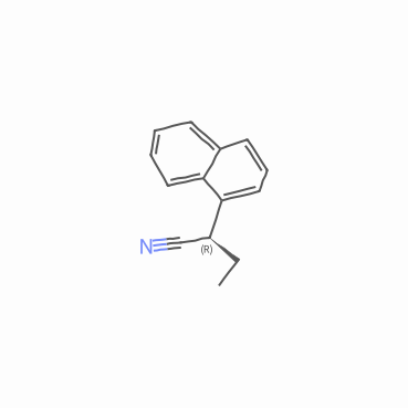 CC[C@@H](C#N)c1cccc2ccccc12